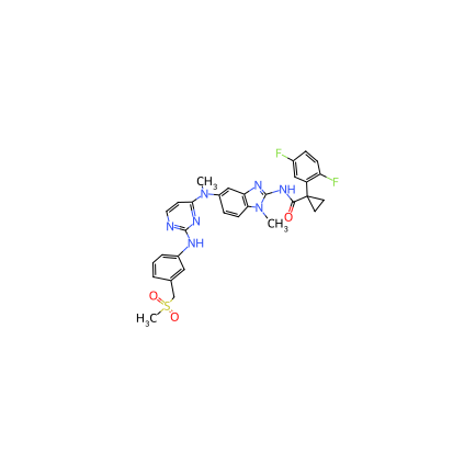 CN(c1ccc2c(c1)nc(NC(=O)C1(c3cc(F)ccc3F)CC1)n2C)c1ccnc(Nc2cccc(CS(C)(=O)=O)c2)n1